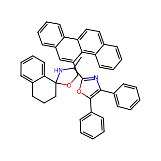 CC(NC1(OCc2cc3ccccc3c3ccc4ccccc4c23)CCCc2ccccc21)c1nc(-c2ccccc2)c(-c2ccccc2)o1